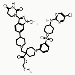 CCOC(=O)C1(CN2CCC(c3ccc4c(N5CCC(=O)NC5=O)nn(C)c4c3)CC2)CCN(c2cccc(S(=O)(=O)N3CCC(Nc4ncc(Cl)cn4)CC3)c2)CC1